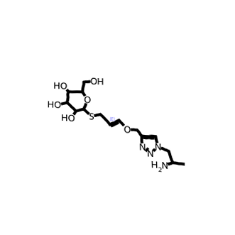 CC(N)Cn1cc(CO/C=C/CSC2OC(CO)C(O)C(O)C2O)nn1